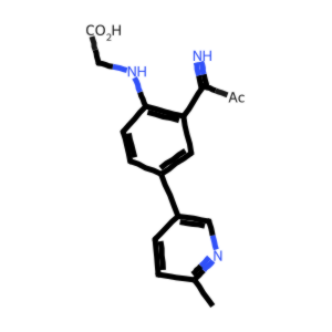 CC(=O)C(=N)c1cc(-c2ccc(C)nc2)ccc1NCC(=O)O